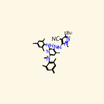 Cc1cc(C)c(Nc2nc(N(C)c3c(C)cc(C)cc3C)cc(C)c2N=Nc2c(C#N)c(C(C)(C)C)nn2C)c(C)c1